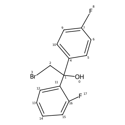 OC(CBr)(c1ccc(F)cc1)c1ccccc1F